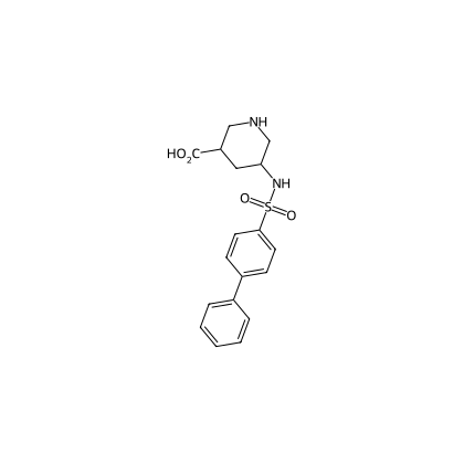 O=C(O)C1CNCC(NS(=O)(=O)c2ccc(-c3ccccc3)cc2)C1